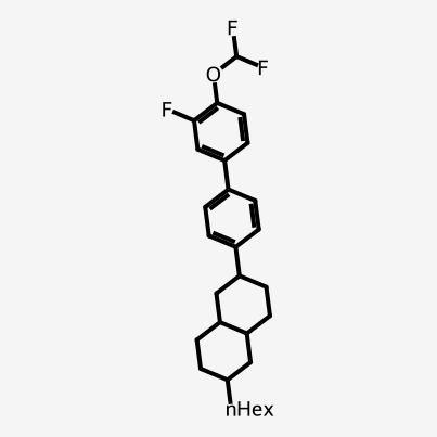 CCCCCCC1CCC2CC(c3ccc(-c4ccc(OC(F)F)c(F)c4)cc3)CCC2C1